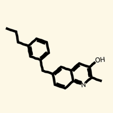 CCCc1cccc(Cc2ccc3nc(C)c(O)cc3c2)c1